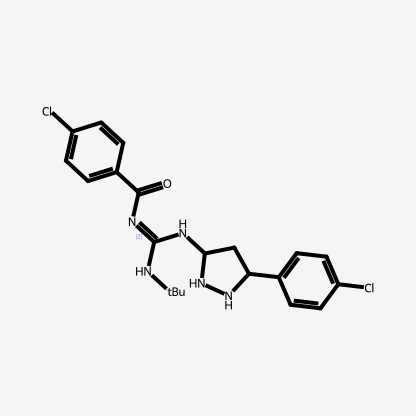 CC(C)(C)N/C(=N/C(=O)c1ccc(Cl)cc1)NC1CC(c2ccc(Cl)cc2)NN1